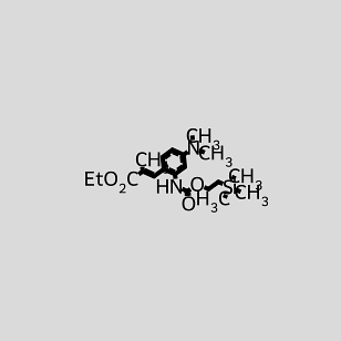 CCOC(=O)C(C)=Cc1ccc(N(C)C)cc1NC(=O)OCC[Si](C)(C)C